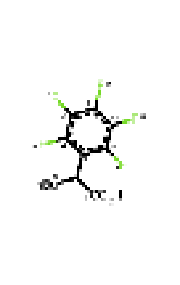 CCCCC(C(=O)O)c1c(F)c(F)c(F)c(F)c1F